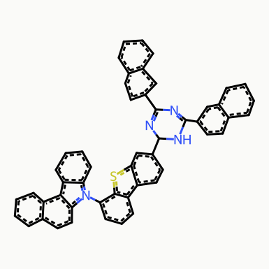 c1ccc2cc(C3=NC(c4ccc5c(c4)sc4c(-n6c7ccccc7c7c8ccccc8ccc76)cccc45)NC(c4ccc5ccccc5c4)=N3)ccc2c1